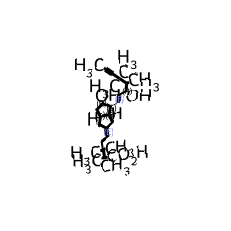 CC#CC(C)(C)C(C)[C@H](O)/C=C/[C@@H]1[C@H]2C/C(=C/CC(C)(C)C(C)(C)C(=O)O)C[C@H]2C[C@H]1O